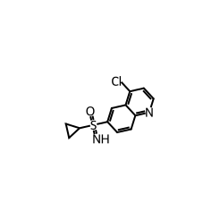 N=S(=O)(c1ccc2nccc(Cl)c2c1)C1CC1